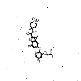 Cn1c(C(=O)NC2(C)CCS(=O)(=O)CC2)nc2c(F)cc(Oc3ncc(Cl)cc3OCC(F)F)cc21